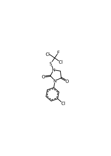 O=C1CN(SC(F)(Cl)Cl)C(=O)N1c1cccc(Cl)c1